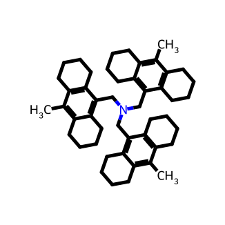 Cc1c2c(c(CN(Cc3c4c(c(C)c5c3CCCC5)CCCC4)Cc3c4c(c(C)c5c3CCCC5)CCCC4)c3c1CCCC3)CCCC2